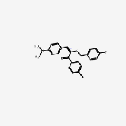 CN(C)c1ccc(/C=C(/SCc2ccc(F)cc2)C(=O)c2ccc(Br)cc2)cc1